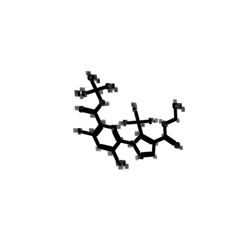 CCOC(=O)c1cnn(-c2nc(C(=O)OC(C)(C)C)c(F)cc2N)c1C(F)(F)F